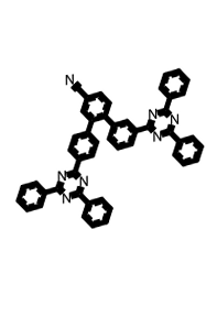 N#Cc1ccc(-c2cccc(-c3nc(-c4ccccc4)nc(-c4ccccc4)n3)c2)c(-c2ccc(-c3nc(-c4ccccc4)nc(-c4ccccc4)n3)cc2)c1